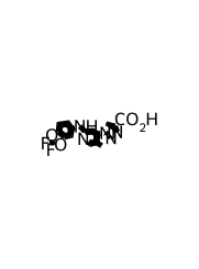 Cc1cnc(Nc2ccc3c(c2)OC(F)(F)O3)cc1-n1cc(C(=O)O)nn1